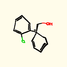 OC[C@]1(c2ccccc2Cl)C=CC=CC1